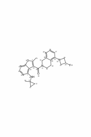 Cc1oc2ncnc(NC3(C)CC3)c2c1C(=O)N1CCc2c(N3CC(F)C3)ccnc2C1